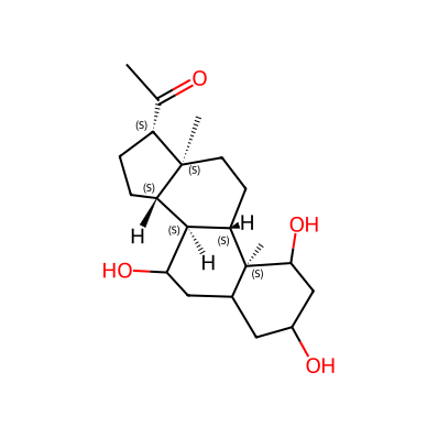 CC(=O)[C@H]1CC[C@H]2[C@@H]3C(O)CC4CC(O)CC(O)[C@]4(C)[C@H]3CC[C@]12C